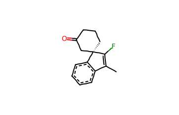 CC1=C(F)[C@@]2(CCCC(=O)C2)c2ccccc21